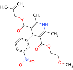 C=C(C)COC(=O)C1=C(C)NC(C)=C(C(=O)OCCOC)C1c1cccc([N+](=O)[O-])c1